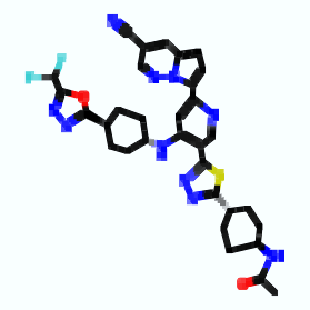 CC(=O)N[C@H]1CC[C@H](c2nnc(-c3cnc(-c4ccc5cc(C#N)cnn45)cc3N[C@H]3CC[C@H](c4nnc(C(F)F)o4)CC3)s2)CC1